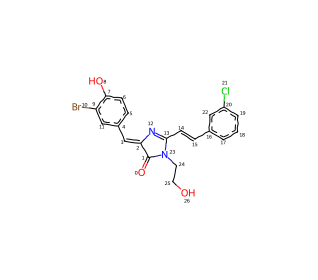 O=C1/C(=C/c2ccc(O)c(Br)c2)N=C(/C=C/c2cccc(Cl)c2)N1CCO